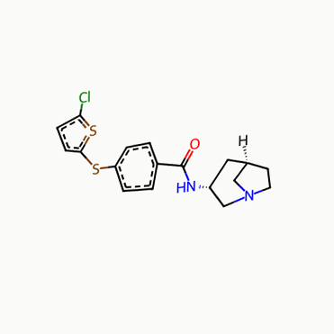 O=C(N[C@@H]1C[C@H]2CCN(C2)C1)c1ccc(Sc2ccc(Cl)s2)cc1